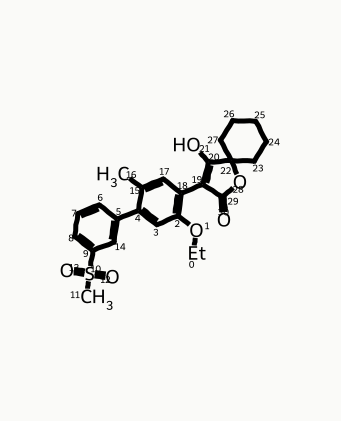 CCOc1cc(-c2cccc(S(C)(=O)=O)c2)c(C)cc1C1=C(O)C2(CCCCC2)OC1=O